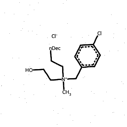 CCCCCCCCCCCC[N+](C)(CCO)Cc1ccc(Cl)cc1.[Cl-]